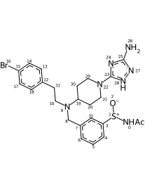 CC(=O)N[S+]([O-])c1cccc(CN(CCc2ccc(Br)cc2)C2CCN(c3nc(N)n[nH]3)CC2)c1